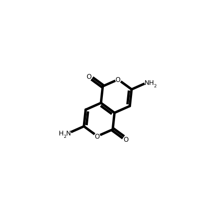 Nc1cc2c(=O)oc(N)cc2c(=O)o1